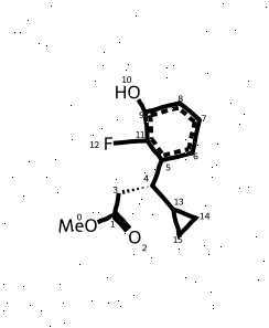 COC(=O)C[C@H](c1cccc(O)c1F)C1CC1